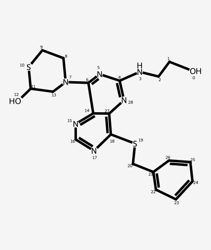 OCCNc1nc(N2CCSC(O)C2)c2ncnc(SCc3ccccc3)c2n1